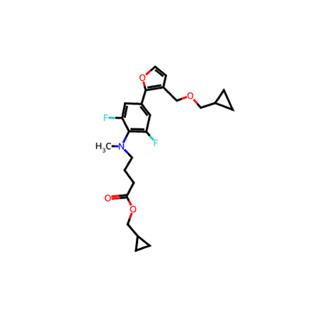 CN(CCCC(=O)OCC1CC1)c1c(F)cc(-c2occc2COCC2CC2)cc1F